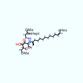 C=C(CCCCCCCCC/C=C\CCCCCC)NC1C(C)OC(COC)C(O)C1OCCC(CCCCCCC)OC